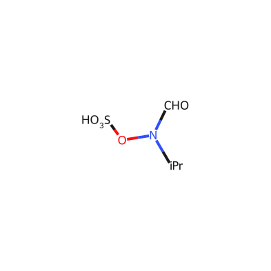 CC(C)N(C=O)OS(=O)(=O)O